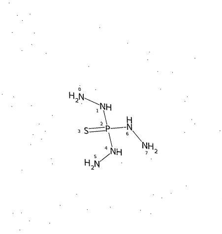 NNP(=S)(NN)NN